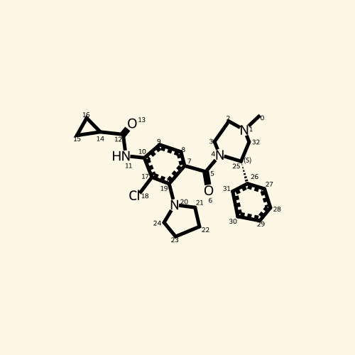 CN1CCN(C(=O)c2ccc(NC(=O)C3CC3)c(Cl)c2N2CCCC2)[C@@H](c2ccccc2)C1